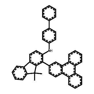 CC1(C)c2ccccc2-c2ccc(Nc3ccc(-c4ccccc4)cc3)c(-c3ccc4c5ccccc5c5ccccc5c4c3)c21